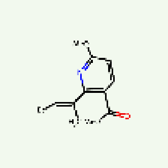 CC/C=C(\C)c1nc(OC)ccc1C(=O)OC